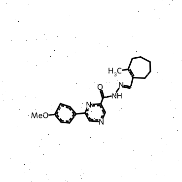 COc1ccc(-c2cncc(C(=O)NN=CC3=C(C)CCCCC3)n2)cc1